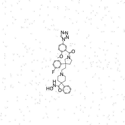 COc1ccc(-n2cnnn2)cc1C(=O)N1CCC(CCN2CCC(C(=O)NO)(c3ccccc3)CC2)(c2cccc(F)c2)C1